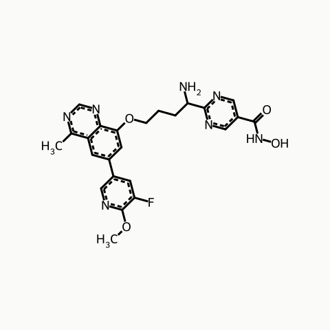 COc1ncc(-c2cc(OCCCC(N)c3ncc(C(=O)NO)cn3)c3ncnc(C)c3c2)cc1F